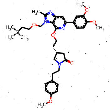 COc1ccc(CCN2C[C@H](CCOc3nc(-c4ccc(OC)c(OC)c4)cc4nc(C)n(COCC[Si](C)(C)C)c34)CC2=O)cc1